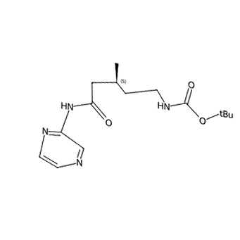 C[C@@H](CCNC(=O)OC(C)(C)C)CC(=O)Nc1cnccn1